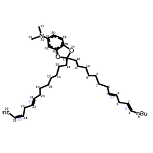 CCCC/C=C/C/C=C/CCCCCCCC1(CCCCCCC/C=C/C/C=C\CCCCC)Oc2ccc(N(C)C)cc2O1